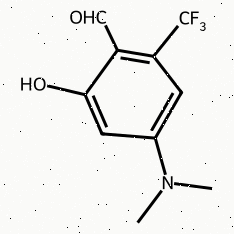 CN(C)c1cc(O)c(C=O)c(C(F)(F)F)c1